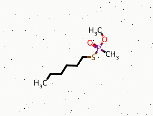 CCCCCCSP(C)(=O)OC